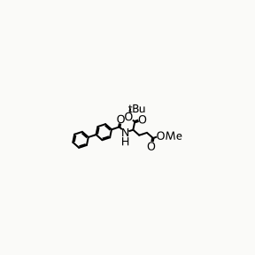 COC(=O)CCC(NC(=O)c1ccc(-c2ccccc2)cc1)C(=O)OC(C)(C)C